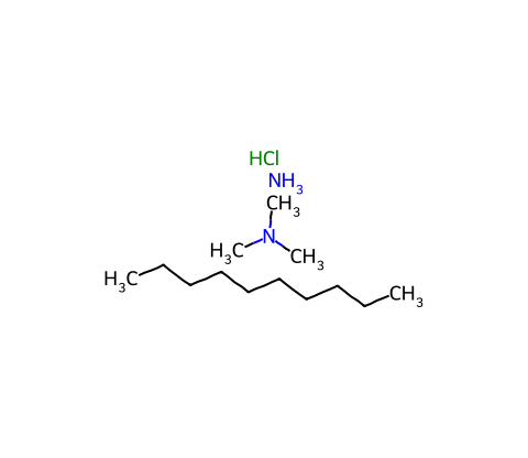 CCCCCCCCCC.CN(C)C.Cl.N